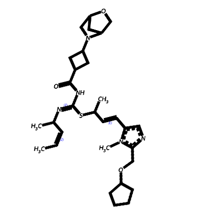 C/C=C\C(C)/N=C(/NC(=O)C1CC(N2CC3CC2CO3)C1)SC(C)/C=C/c1cnc(COC2CCCC2)n1C